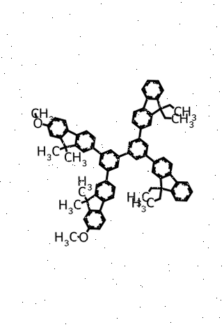 CCC1(CC)c2ccccc2-c2ccc(-c3cc(-c4cc(-c5ccc6c(c5)C(C)(C)c5cc(OC)ccc5-6)cc(-c5ccc6c(c5)C(C)(C)c5cc(OC)ccc5-6)c4)cc(-c4ccc5c(c4)C(CC)(CC)c4ccccc4-5)c3)cc21